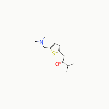 CC(C)C(=O)Cc1ccc(CN(C)C)s1